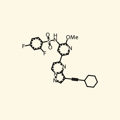 COc1ncc(-c2ccn3ncc(C#CC4CCCCC4)c3n2)cc1NS(=O)(=O)c1ccc(F)cc1F